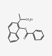 CCOC(=O)N(C)c1ccc2ccccc2c1OC(=O)c1ccccc1